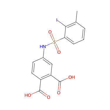 Cc1cccc(S(=O)(=O)Nc2ccc(C(=O)O)c(C(=O)O)c2)c1I